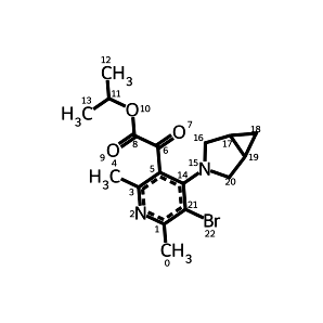 Cc1nc(C)c(C(=O)C(=O)OC(C)C)c(N2CC3CC3C2)c1Br